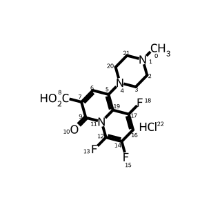 CN1CCN(c2cc(C(=O)O)c(=O)n3c(F)c(F)cc(F)c23)CC1.Cl